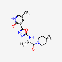 C[C@@H](Nc1nnc(-c2cc(C(F)(F)F)c[nH]c2=O)o1)C(=O)N1CCC2(CC1)CC2